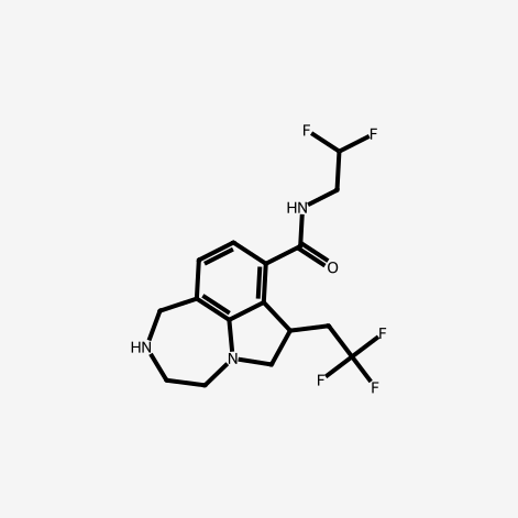 O=C(NCC(F)F)c1ccc2c3c1C(CC(F)(F)F)CN3CCNC2